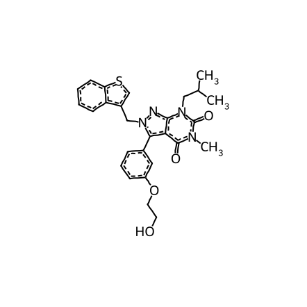 CC(C)Cn1c(=O)n(C)c(=O)c2c(-c3cccc(OCCO)c3)n(Cc3csc4ccccc34)nc21